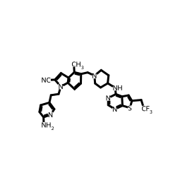 Cc1c(CN2CCC(Nc3ncnc4sc(CC(F)(F)F)cc34)CC2)ccc2c1cc(C#N)n2CCc1ccc(N)nc1